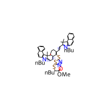 CCCCC(Sc1nnc(SC2=C(/C=C/C3=[N+](CCCC)c4ccc5ccccc5c4C3(C)C)CCC/C2=C\C=C2\N(CCCC)c3ccc4ccccc4c3C2(C)C)s1)C(=O)OC